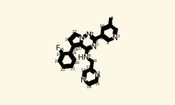 Cc1cncc(-c2nc(NCc3cnccn3)c3c(-c4ccccc4F)ccn3n2)c1